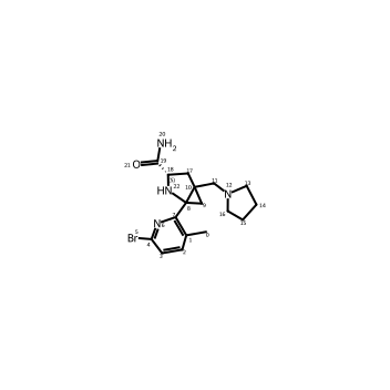 Cc1ccc(Br)nc1C12CC1(CN1CCCC1)C[C@@H](C(N)=O)N2